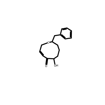 O=C1C=CCCC(Cc2ccccc2)CCCC1O